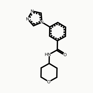 O=C(NC1CCOCC1)c1cccc(-n2cnnc2)c1